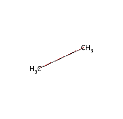 CCCCCCCCCCCCCCCCCCCCCCCCCCCCCCCCCCCCCCCCCCCCCCCCCC